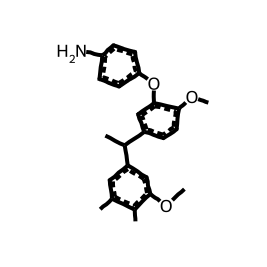 COc1ccc(C(C)c2cc(C)c(C)c(OC)c2)cc1Oc1ccc(N)cc1